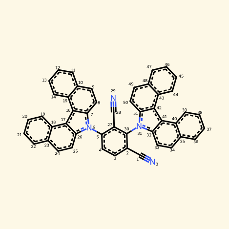 N#Cc1ccc(-n2c3ccc4ccccc4c3c3c4ccccc4ccc32)c(C#N)c1-n1c2ccc3ccccc3c2c2c3ccccc3ccc21